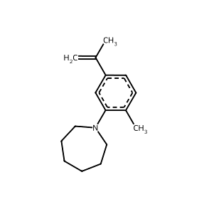 C=C(C)c1ccc(C)c(N2CCCCCC2)c1